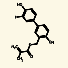 C=C(C)C(=O)OCc1cc(-c2ccc(O)c(F)c2)ccc1O